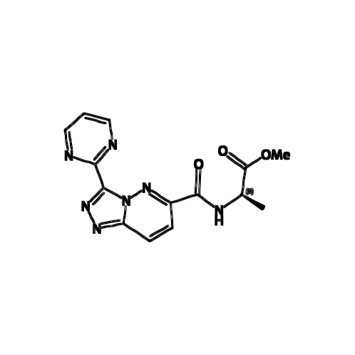 COC(=O)[C@@H](C)NC(=O)c1ccc2nnc(-c3ncccn3)n2n1